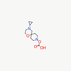 O=C(O)ON1CCC2(CC1)CN(C1CC1)CCO2